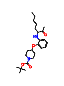 CCCCCC(Nc1ccccc1OC1CCN(C(=O)OC(C)(C)C)CC1)C(C)=O